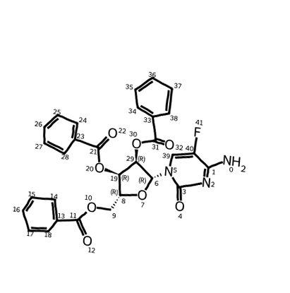 Nc1nc(=O)n([C@@H]2O[C@H](COC(=O)c3ccccc3)[C@@H](OC(=O)c3ccccc3)[C@H]2OC(=O)c2ccccc2)cc1F